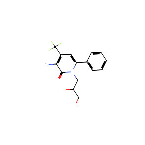 Nc1c(C(F)(F)F)cc(-c2ccccc2)n(CC(O)CO)c1=O